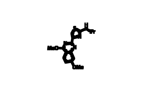 COc1ccc2c(OC)nc(-c3csc(NC(C)C)n3)nc2c1